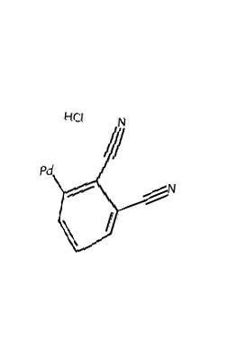 Cl.N#Cc1ccc[c]([Pd])c1C#N